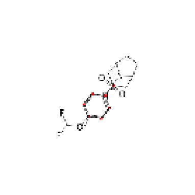 CC1CCN(C2CC3CCC(C2)N3S(=O)(=O)c2ccc(OC(F)F)cc2)CC1